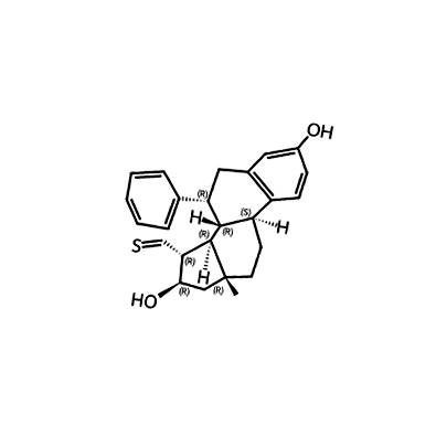 C[C@]12CC[C@@H]3c4ccc(O)cc4C[C@@H](c4ccccc4)[C@H]3[C@@H]1[C@@H](C=S)[C@H](O)C2